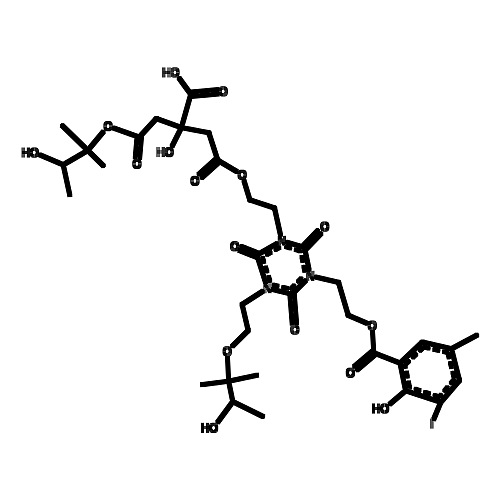 Cc1cc(I)c(O)c(C(=O)OCCn2c(=O)n(CCOC(=O)CC(O)(CC(=O)OC(C)(C)C(C)O)C(=O)O)c(=O)n(CCOC(C)(C)C(C)O)c2=O)c1